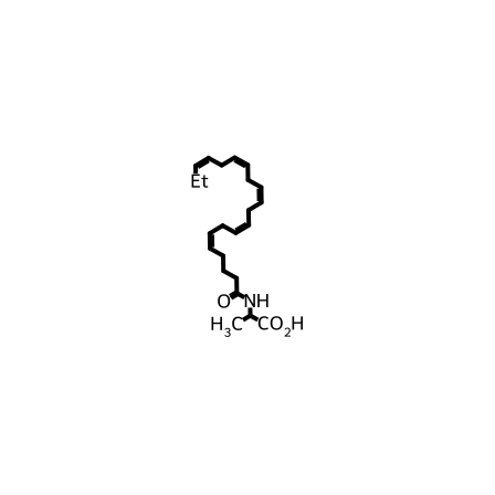 CC/C=C\C/C=C\C/C=C\C/C=C\C/C=C\CCCC(=O)NC(C)C(=O)O